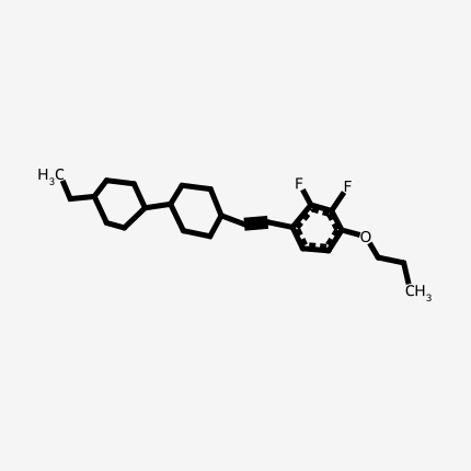 CCCOc1ccc(C#CC2CCC(C3CCC(CC)CC3)CC2)c(F)c1F